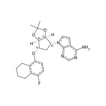 CC1(C)O[C@@H]2[C@H](O1)[C@@H](Oc1ccc(F)c3c1CCCC3)C[C@H]2n1ccc2c(N)ncnc21